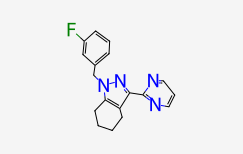 Fc1cccc(Cn2nc(-c3ncccn3)c3c2CCCC3)c1